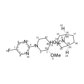 CO[C@@H]1CN(c2ncc(F)cn2)CC[C@@H]1C1C[C@H]2CC[C@@H](C1)N2C(=O)O